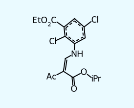 CCOC(=O)c1cc(Cl)cc(NC=C(C(C)=O)C(=O)OC(C)C)c1Cl